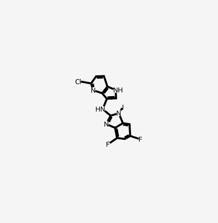 Fc1cc(F)c2nc(Nc3c[nH]c4ccc(Cl)nc34)n(I)c2c1